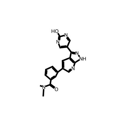 CN(C)C(=O)c1cccc(-c2cnc3[nH]nc(-c4cnc(O)nc4)c3c2)c1